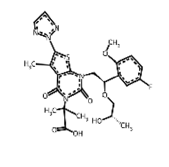 COc1ccc(F)cc1[C@H](Cn1c(=O)n(C(C)(C)C(=O)O)c(=O)c2c(C)c(-n3nccn3)sc21)OC[C@H](C)O